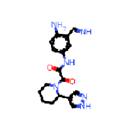 N=Cc1cc(NC(=O)C(=O)N2CCCCC2c2cn[nH]c2)ccc1N